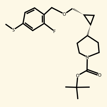 CSc1ccc(COC[C@@H]2C[C@@H]2C2CCN(C(=O)OC(C)(C)C)CC2)c(F)c1